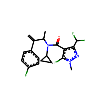 C=C(c1ccc(F)cc1)C(C)N(C(=O)c1c(C(F)F)nn(C)c1F)C1CC1